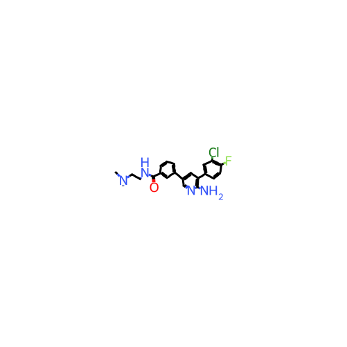 CN(C)CCNC(=O)c1cccc(-c2cnc(N)c(-c3ccc(F)c(Cl)c3)c2)c1